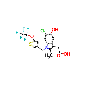 Cc1c(CC(=O)O)c2cc(O)c(Cl)cc2n1Cc1csc(OC(F)(F)C(F)(F)F)c1